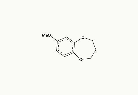 COc1[c]cc2c(c1)OCCCO2